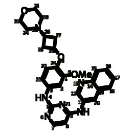 COc1cc(Nc2nccc(Nc3cnc4ccccc4c3)n2)ccc1OC1CC(N2CCOCC2)C1